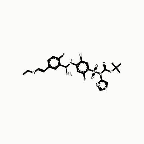 CCO/C=C/c1ccc(F)c([C@H](N)Nc2cc(F)c(S(=O)(=O)N(C(=O)OC(C)(C)C)c3cscn3)cc2Cl)c1